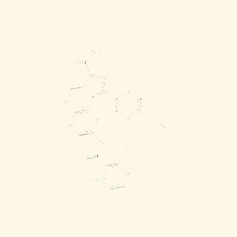 NC(=O)c1nn(-c2ccc(S(N)(=O)=O)cc2)c2c1CCc1ccc(NC(=O)c3c(Cl)cccc3Cl)cc1-2